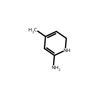 CC1=CCNC(N)=C1